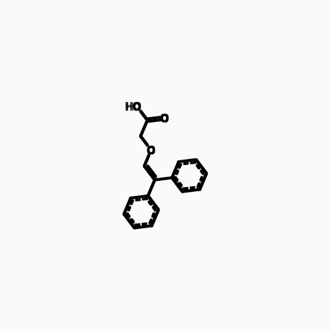 O=C(O)COC=C(c1ccccc1)c1ccccc1